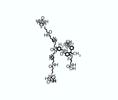 Cc1c(-c2cccc(S(=O)(=O)N(C)C)c2)c2cc(C(=O)Nc3ccc4c(c3)n(CCn3cc(CCNC(=O)CCCC[C@@H]5SC[C@@H]6NC(=O)N[C@@H]65)nn3)c(=O)n4CCn3cc(CCNC(=O)CCCC[C@@H]4SC[C@@H]5NC(=O)N[C@@H]54)nn3)ccc2n1C/C(F)=C/CNC(=O)O